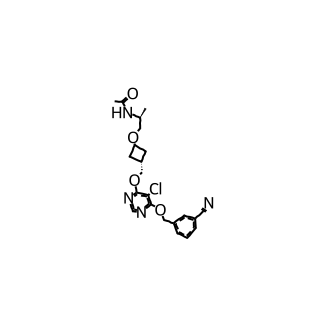 CC(=O)N[C@@H](C)CO[C@H]1C[C@H](COc2ncnc(OCc3cccc(C#N)c3)c2Cl)C1